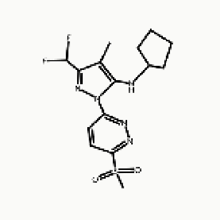 Cc1c(C(F)F)nn(-c2ccc(S(C)(=O)=O)nn2)c1NC1CCCC1